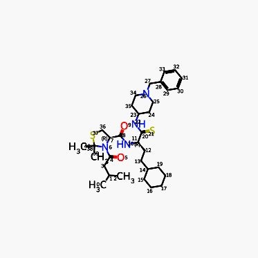 CC(C)CC(=O)N1[C@H](C(=O)N[C@H](CCC2CCCCC2)C(=S)NC2CCN(Cc3ccccc3)CC2)CSC1(C)C